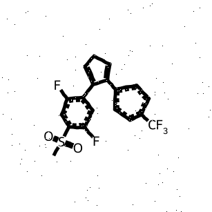 CS(=O)(=O)c1cc(F)c(C2=CCC=C2c2ccc(C(F)(F)F)cc2)cc1F